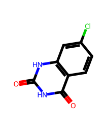 O=c1[nH]c(=O)c2ccc(Cl)cc2[nH]1